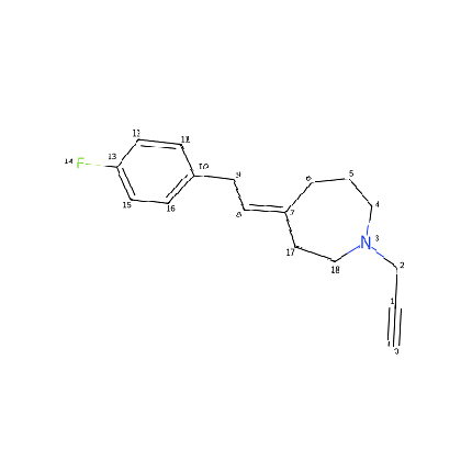 C#CCN1CCC/C(=C\Cc2ccc(F)cc2)CC1